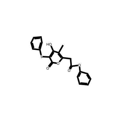 Cc1c(CC(=O)Oc2ccccc2)oc(=O)c(Sc2ccccc2)c1O